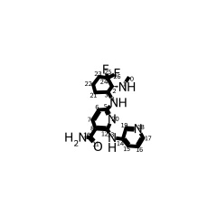 CN[C@@H]1C(Nc2ccc(C(N)=O)c(Nc3cccnc3)n2)CCCC1(F)F